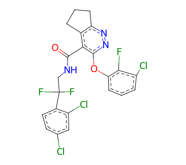 O=C(NCC(F)(F)c1ccc(Cl)cc1Cl)c1c(Oc2cccc(Cl)c2F)nnc2c1CCC2